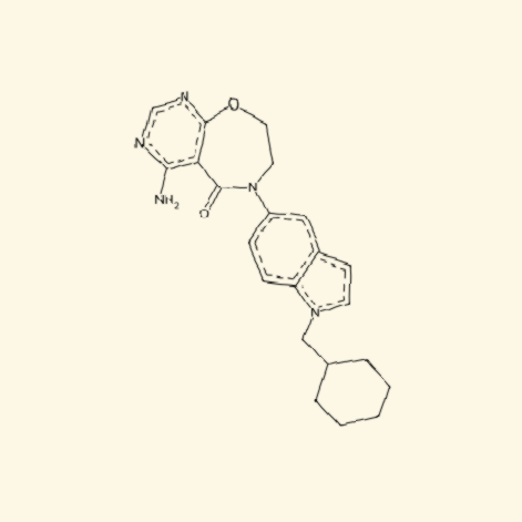 Nc1ncnc2c1C(=O)N(c1ccc3c(ccn3CC3CCCCC3)c1)CCO2